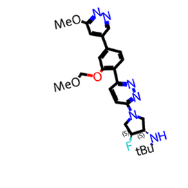 COCOc1cc(-c2cnnc(OC)c2)ccc1-c1ccc(N2C[C@H](NC(C)(C)C)[C@@H](F)C2)nn1